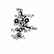 C=CCC(N=C(OC(C)(C)C)[C@H](CC(C)C)N(C(=O)CCC(=O)OC(C)(C)C)C(=O)[C@H](Cc1ccccc1)NC(=O)[C@H](Cc1ccccc1C)NC(=O)[C@H](CCC(=O)O)NC(=O)[C@@H](N)CC(=O)OC(C)(C)C)B1OC(C)(C)C(C)(C)O1